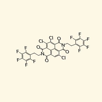 O=C1c2cc(Cl)c3c4c(c(Cl)c(Cl)c(c24)C(=O)N1CCc1c(F)c(F)c(F)c(F)c1F)C(=O)N(CCc1c(F)c(F)c(F)c(F)c1F)C3=O